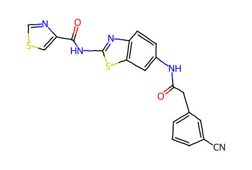 N#Cc1cccc(CC(=O)Nc2ccc3nc(NC(=O)c4cscn4)sc3c2)c1